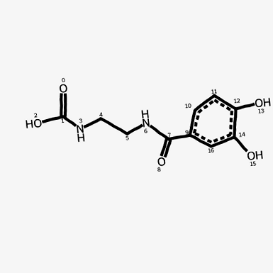 O=C(O)NCCNC(=O)c1ccc(O)c(O)c1